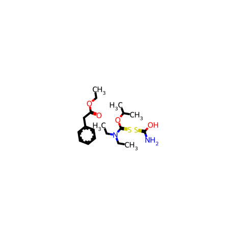 CCN(CC)C(=S)OC(C)C.CCOC(=O)Cc1ccccc1.NC(O)=S